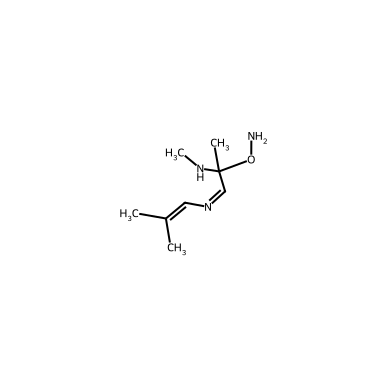 CNC(C)(/C=N\C=C(C)C)ON